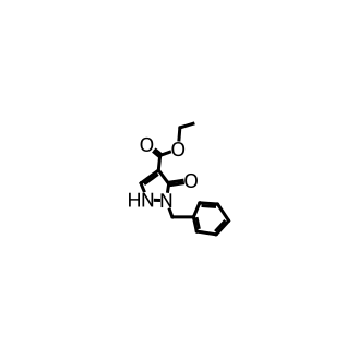 CCOC(=O)c1c[nH]n(Cc2ccccc2)c1=O